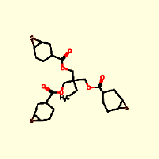 CCC(COC(=O)C1CCC2SC2C1)(COC(=O)C1CCC2SC2C1)COC(=O)C1CCC2SC2C1